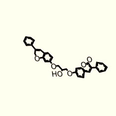 O=c1oc2cc(OCC(O)COc3ccc4c(c3)OCC(c3ccccc3)=C4)ccc2cc1-c1ccccc1